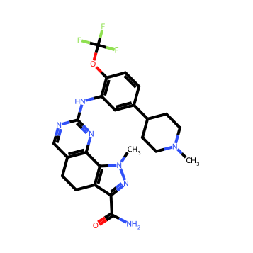 CN1CCC(c2ccc(OC(F)(F)F)c(Nc3ncc4c(n3)-c3c(c(C(N)=O)nn3C)CC4)c2)CC1